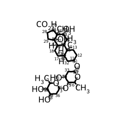 CC1O[C@H](O[C@@H]2C(C)O[C@@H](O[C@H]3CC[C@@]4(C)[C@H](CC[C@@H]5[C@@H]4C[C@@H](O)[C@]4(C)[C@@H](C(=O)O)CC[C@]54O)C3)C[C@H]2O)C[C@@H](O)[C@@H]1O